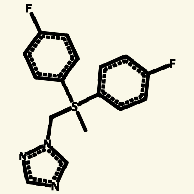 CS(Cn1cncn1)(c1ccc(F)cc1)c1ccc(F)cc1